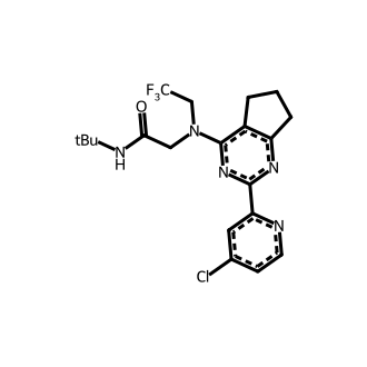 CC(C)(C)NC(=O)CN(CC(F)(F)F)c1nc(-c2cc(Cl)ccn2)nc2c1CCC2